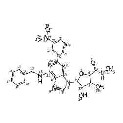 CNC(=O)C1OC(n2cnc3c(NCc4ccccc4)nc(-c4cncc([N+](=O)[O-])c4)nc32)C(O)C1O